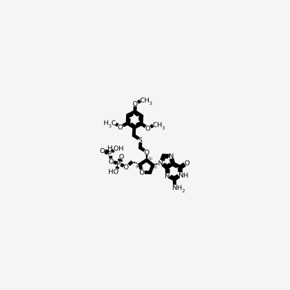 COc1cc(OC)c(CSCO[C@H]2[C@H](n3cnc4c(=O)[nH]c(N)nc43)CO[C@@H]2COP(=O)(O)O[PH](=O)O)c(OC)c1